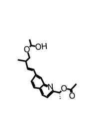 CC(=O)O[C@H](C)c1ccc2ccc(/C=C/C(C)COC(C)O)cc2n1